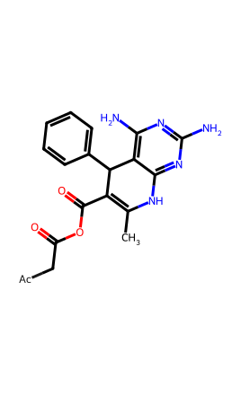 CC(=O)CC(=O)OC(=O)C1=C(C)Nc2nc(N)nc(N)c2C1c1ccccc1